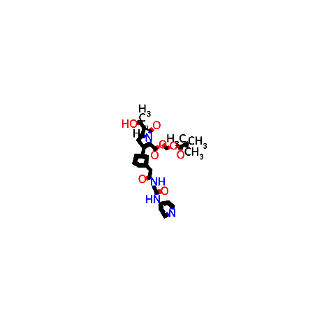 C[C@@H](O)[C@H]1C(=O)N2C(C(=O)OCOC(=O)C(C)(C)C)=C(c3cccc(CC(=O)NCC(=O)Nc4ccncc4)c3)C[C@H]12